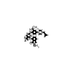 CCc1cc(N2CCN(CC3CC3)CC2)ccc1Nc1ncc(C(F)(F)F)c(Oc2cccc3c2C(=O)N(C)C3)n1